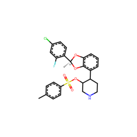 Cc1ccc(S(=O)(=O)OC2CNCCC2c2cccc3c2O[C@@](C)(c2ccc(Cl)cc2F)O3)cc1